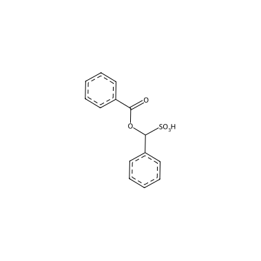 O=C(OC(c1ccccc1)S(=O)(=O)O)c1ccccc1